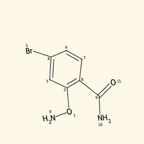 NOc1cc(Br)ccc1C(N)=O